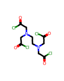 O=C(Cl)CN(CCN(CC(=O)Cl)CC(=O)Cl)CC(=O)Cl